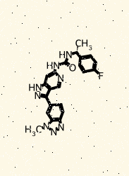 C[C@@H](NC(=O)Nc1cc2[nH]nc(-c3ccc4nnn(C)c4c3)c2cn1)c1ccc(F)cc1